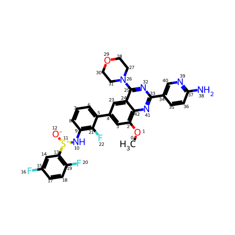 COc1cc(-c2cccc(N[S+]([O-])c3cc(F)ccc3F)c2F)cc2c(N3CCOCC3)nc(-c3ccc(N)nc3)nc12